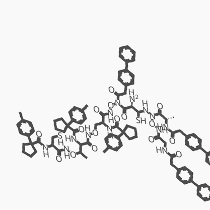 Cc1ccc(C2(C(=O)NC(CS)C(=O)NOC(C)C(NC(=O)C3(c4ccc(C)cc4)CCCC3)C(=O)NOCC(NC(=O)C3(c4ccc(C)cc4)CCCC3)C(=O)NON(C(=O)Cc3ccc(-c4ccccc4)cc3)C(=O)[C@@H](N)C(S)NN(ONC(=O)CNC(=O)Cc3ccc(-c4ccccc4)cc3)C(=O)[C@H](C)NC(=O)Cc3ccc(-c4ccccc4)cc3)CCCC2)cc1